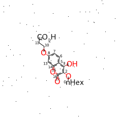 CCCCCCOc1c(O)c2ccc(OCCC(=O)O)cc2oc1=O